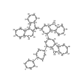 c1ccc(-c2ccc(-c3cc(-c4cc(-n5c6ccccc6c6c7ccccc7ccc65)cc5oc6ccccc6c45)cc4c3oc3ccccc34)cc2)cc1